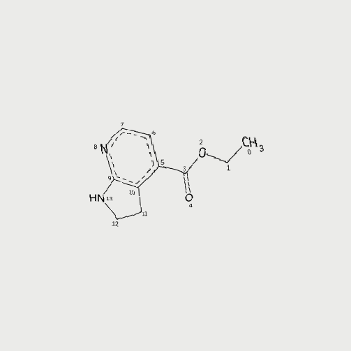 CCOC(=O)c1ccnc2c1CCN2